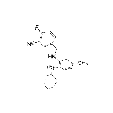 Cc1ccc(NC2CCCCC2)c(NCc2ccc(F)c(C#N)c2)c1